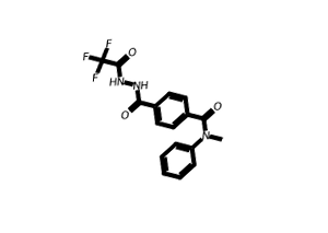 CN(C(=O)c1ccc(C(=O)NNC(=O)C(F)(F)F)cc1)c1ccccc1